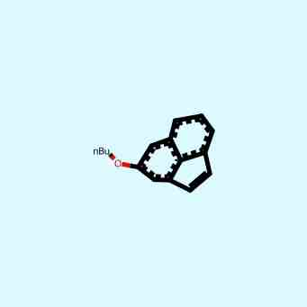 CCCCOc1cc2c3c(cccc3c1)C=C2